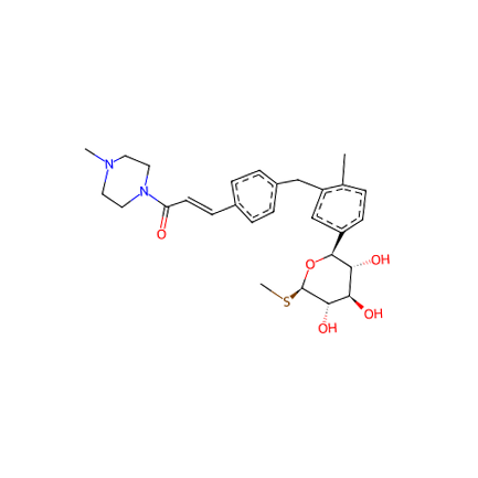 CS[C@H]1O[C@@H](c2ccc(C)c(Cc3ccc(/C=C/C(=O)N4CCN(C)CC4)cc3)c2)[C@H](O)[C@@H](O)[C@@H]1O